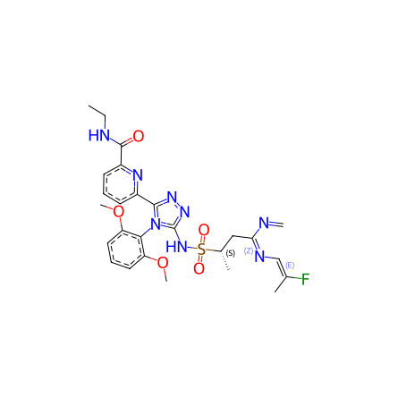 C=N/C(C[C@H](C)S(=O)(=O)Nc1nnc(-c2cccc(C(=O)NCC)n2)n1-c1c(OC)cccc1OC)=N\C=C(/C)F